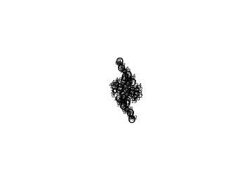 Cc1cc(C)cc(Oc2cc3c4c(cc(Oc5cc(C)cc(C)c5)c5c6c(Oc7cc(C)cc(C)c7)cc7c8c(cc(Oc9cc(C)cc(C)c9)c(c2c45)c86)C(=O)N(C(C(=O)Oc2ccc(OCC4CO4)cc2)C(C)C)C7=O)C(=O)N(C(C(=O)Oc2ccc(OCC4CO4)cc2)C(C)C)C3=O)c1